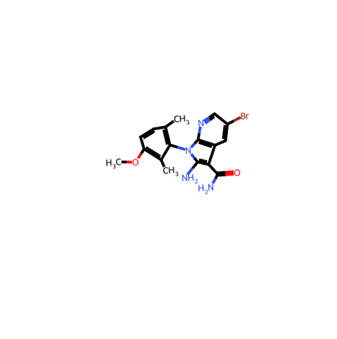 COc1ccc(C)c(-n2c(N)c(C(N)=O)c3cc(Br)cnc32)c1C